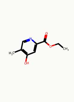 CCOC(=O)c1cc(O)c(C)cn1